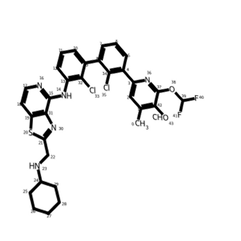 Cc1cc(-c2cccc(-c3cccc(Nc4nccc5sc(CNC6CCCCC6)nc45)c3Cl)c2Cl)nc(OC(F)F)c1C=O